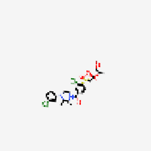 COCC(C)OC(=O)C[S+]([O-])c1ccc(C(=O)N2CCN(c3cccc(Cl)c3)C(C)[C@@H]2C)cc1Cl